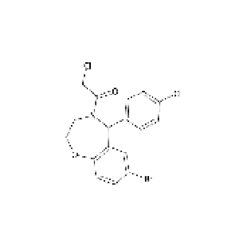 O=C(CCl)N1CCOc2ccc(Br)cc2C1c1ccc(Cl)cc1